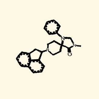 CN1CN(c2ccccc2)C2(CCN(C3Cc4cccc5cccc3c45)CC2)C1=O